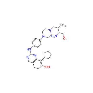 CC(CN1CCN(c2ccc(Nc3ncc4c(n3)C(C3CCCC3)=C(O)CC4)cc2)CC1)C(N)C=O